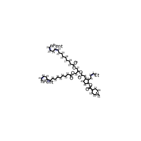 CC/C=C\CC1C(CC(=O)OC(COC(=O)CCCCCCC/C=C\C/C=C\CCCCC)COC(=O)CCCCCCC/C=C\C/C=C\CCCCC)CCC1OC(=O)C1CCN(C)CC1